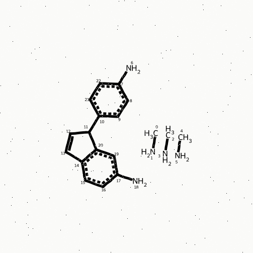 CN.CN.CN.Nc1ccc(C2C=Cc3ccc(N)cc32)cc1